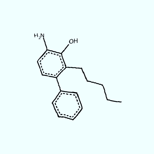 CCCCCc1c(-c2ccccc2)ccc(N)c1O